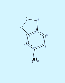 Bc1ccc2c(c1)CCC2